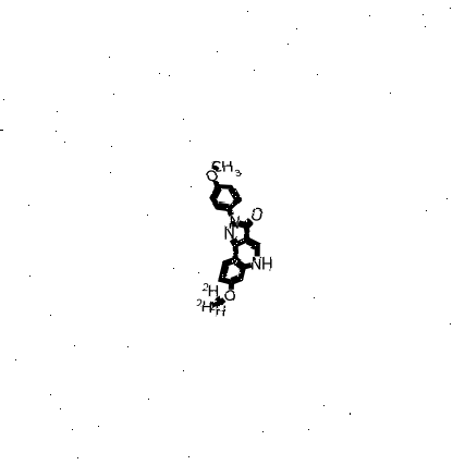 [2H]C([2H])([2H])Oc1ccc2c3nn(-c4ccc(OC)cc4)c(=O)c-3c[nH]c2c1